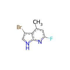 Cc1cc(F)nc2[nH]cc(Br)c12